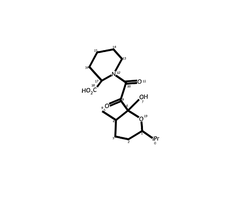 CC(C)C1CCC(C)C(O)(C(=O)C(=O)N2CCCCC2C(=O)O)O1